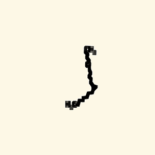 CCCCCCCCC1CC1CCCCCCOCCCCC